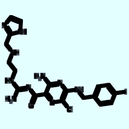 N/C(=N\C(=O)c1nc(Cl)c(NCc2ccc(I)cc2)nc1N)NCCNCc1ncc[nH]1